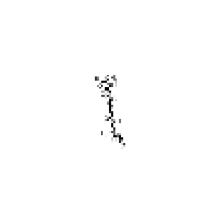 CC(NC(=O)CNC(=O)CCCCC(=O)NCCN(C)C(=O)/C=C\C=O)C(=O)O